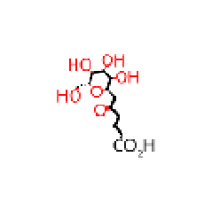 O=C(O)CCCC(=O)C[C@H]1O[C@H](CO)[C@@H](O)[C@H](O)[C@H]1O